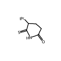 CC(C)C1CCC(=O)NC1=S